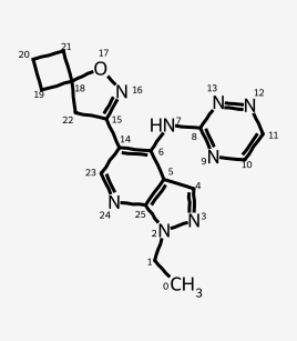 CCn1ncc2c(Nc3nccnn3)c(C3=NOC4(CCC4)C3)cnc21